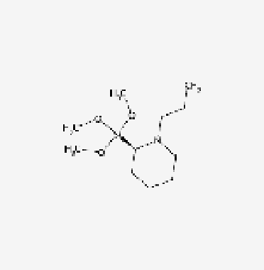 CCCN1CCCC[C@H]1[Si](OC)(OC)OC